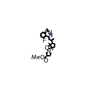 C=C/N=N\C(=C/C(=C)C1CC[C@](C)(C(=O)N2CCC(C(=O)OC)C2)C1(C)C)c1c(F)cccc1F